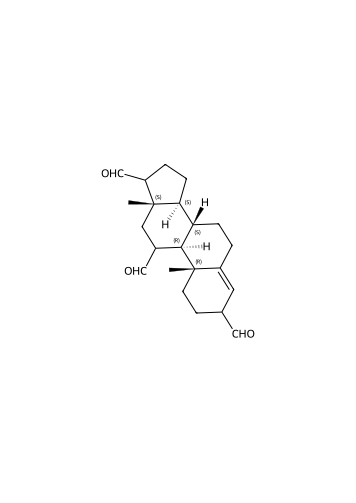 C[C@]12CCC(C=O)C=C1CC[C@@H]1[C@@H]2C(C=O)C[C@]2(C)C(C=O)CC[C@@H]12